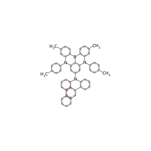 Cc1ccc(N2c3cc(C)ccc3B3c4ccc(C)cc4N(c4ccc(C)cc4)c4cc(N(c5cccc(-c6ccccc6)c5)c5ccccc5-c5ccccc5)cc2c43)cc1